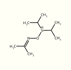 CC(C)=NO[SiH](C(C)C)C(C)C